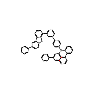 c1ccc(-c2cccc(N(c3ccc(-c4cccc(-c5cccc6c5oc5ccc(-c7ccccc7)cc56)c4)cc3)c3ccccc3-c3ccccc3)c2)cc1